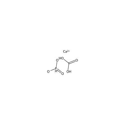 O=C(O)O.O=[PH]([O-])[O-].[Ca+2]